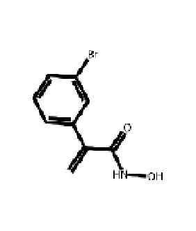 C=C(C(=O)NO)c1cccc(Br)c1